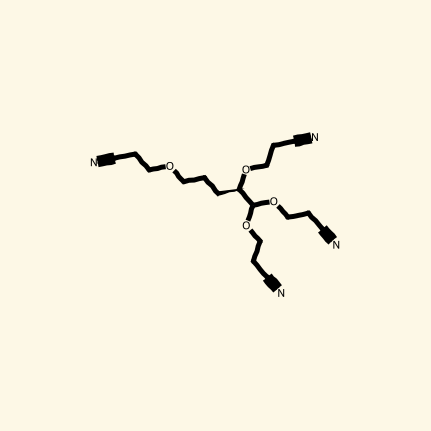 N#CCCOCCC[C@@H](OCCC#N)C(OCCC#N)OCCC#N